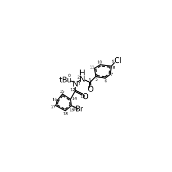 CC(C)(C)N(NC(=O)c1ccc(Cl)cc1)C(=O)c1ccccc1Br